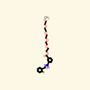 COCCOCCOCCOCCOCCOC(=O)c1cccc(-c2noc(-c3ccccc3F)n2)c1